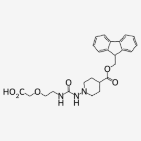 O=C(O)COCCNC(=O)NN1CCC(C(=O)OCC2c3ccccc3-c3ccccc32)CC1